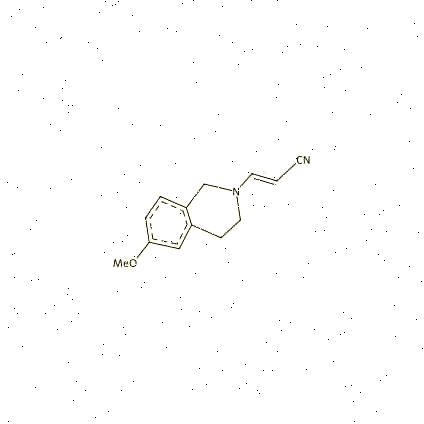 COc1ccc2c(c1)CCN(/C=C/C#N)C2